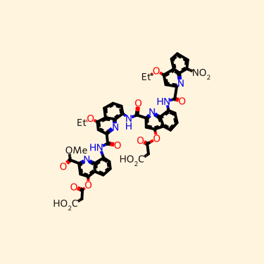 CCOc1cc(C(=O)Nc2cccc3c(OC(=O)CC(=O)O)cc(C(=O)OC)nc23)nc2c(NC(=O)c3cc(OC(=O)CC(=O)O)c4cccc(NC(=O)c5cc(OCC)c6cccc([N+](=O)[O-])c6n5)c4n3)cccc12